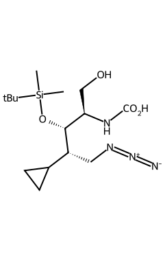 CC(C)(C)[Si](C)(C)O[C@@H]([C@H](CN=[N+]=[N-])C1CC1)[C@@H](CO)NC(=O)O